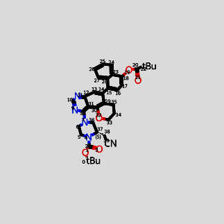 CC(C)(C)OC(=O)N1CCN(c2ncnc3cc(-c4ccc(OC(=O)C(C)(C)C)c5ccccc45)c4c(c23)OCCC4)C[C@@H]1CC#N